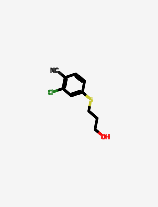 N#Cc1ccc(SCCCO)cc1Cl